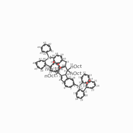 CCCCCCCCC1(CCCCCCCC)C2=Cc3ccc(N(c4ccccc4)c4ccccc4-c4ccccc4)cc3C2C(CCCCCCCC)(CCCCCCCC)C2=C1c1cc(N(c3ccccc3)c3ccccc3-c3ccccc3)ccc1C2